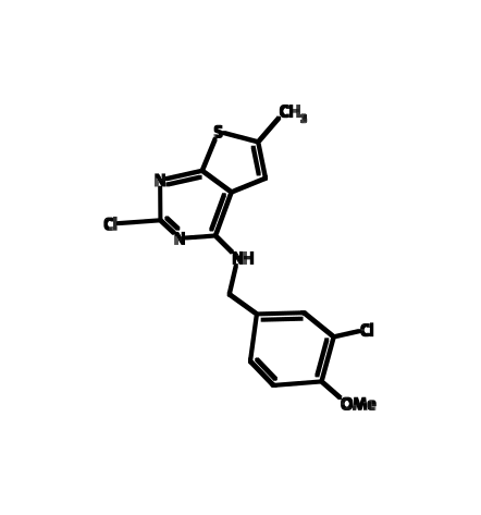 COc1ccc(CNc2nc(Cl)nc3sc(C)cc23)cc1Cl